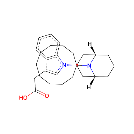 O=C(O)Cc1cn([C@H]2C[C@H]3CCC[C@@H](C2)N3C2CCCCCCCCC2)c2ccccc12